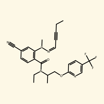 CCC#C/C=N\N(C)c1cc(C#N)ccc1C(=O)N(CC)C(C)COc1ccc(C(F)(F)F)cn1